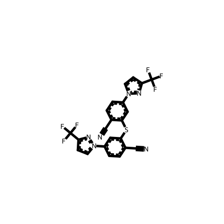 N#Cc1ccc(-n2ccc(C(F)(F)F)n2)cc1Sc1cc(-n2ccc(C(F)(F)F)n2)ccc1C#N